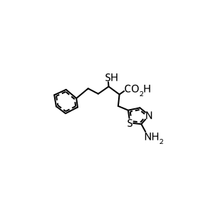 Nc1ncc(CC(C(=O)O)C(S)CCc2ccccc2)s1